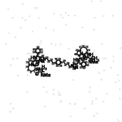 CNC(C)C(=O)NC1CCCCC2CCC(C(=O)NC(c3ccccc3)c3cn(CCCCc4ccc(CCCCn5cc(C(NC(=O)C6CCC7CCCCC(NC(=O)C(C)NC)C(=O)N76)c6ccccc6)nn5)cc4)nn3)N2C1=O